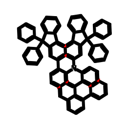 c1ccc(-c2cccc3cccc(-c4ccccc4N(c4ccc5c(c4)C(c4ccccc4)(c4ccccc4)c4ccccc4-5)c4ccccc4-c4ccc5c(c4)C(c4ccccc4)(c4ccccc4)c4ccccc4-5)c23)cc1